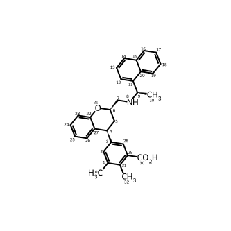 Cc1cc([C@@H]2C[C@H](CN[C@H](C)c3cccc4ccccc34)Oc3ccccc32)cc(C(=O)O)c1C